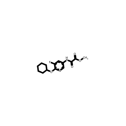 COC(=O)C(=O)Nc1cnc(OC2CCCCC2)c(F)c1